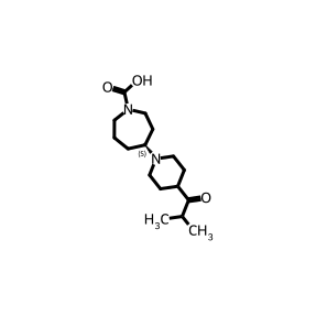 CC(C)C(=O)C1CCN([C@H]2CCCN(C(=O)O)CC2)CC1